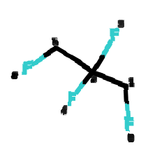 FCC(F)(F)CF